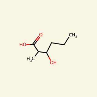 CCCC(O)C(C)C(=O)O